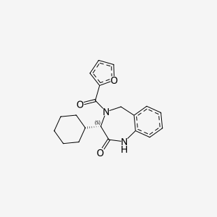 O=C1Nc2ccccc2CN(C(=O)c2ccco2)[C@H]1C1CCCCC1